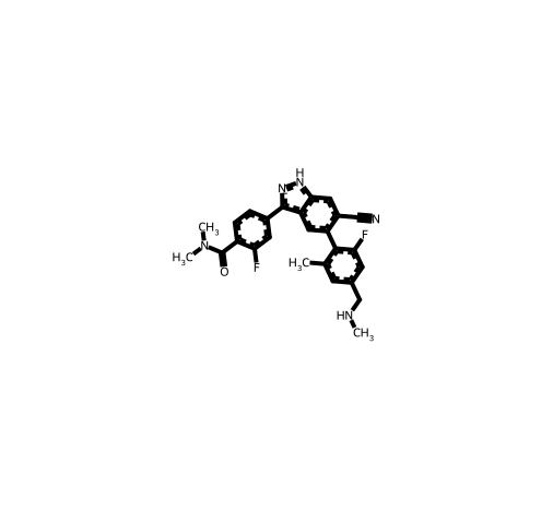 CNCc1cc(C)c(-c2cc3c(-c4ccc(C(=O)N(C)C)c(F)c4)n[nH]c3cc2C#N)c(F)c1